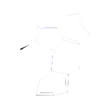 CCc1ccccc1N1c2ccccc2N[C@@H]1C